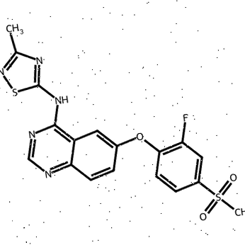 Cc1nsc(Nc2ncnc3ccc(Oc4ccc(S(C)(=O)=O)cc4F)cc23)n1